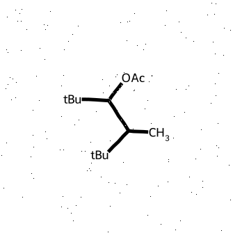 CC(=O)OC(C(C)C(C)(C)C)C(C)(C)C